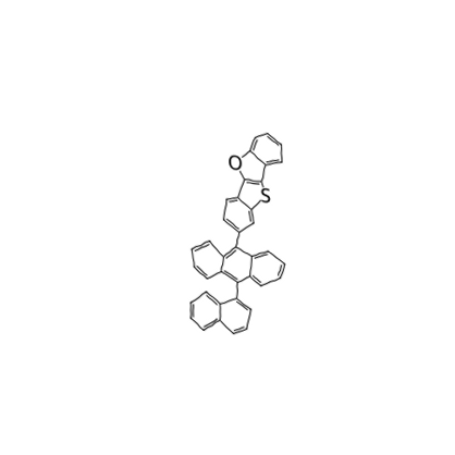 c1ccc2c(-c3c4ccccc4c(-c4ccc5c(c4)sc4c6ccccc6oc54)c4ccccc34)cccc2c1